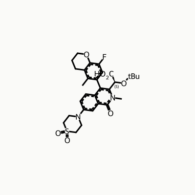 Cc1c(-c2c([C@H](OC(C)(C)C)C(=O)O)n(C)c(=O)c3cc(N4CCS(=O)(=O)CC4)ccc23)cc(F)c2c1CCCO2